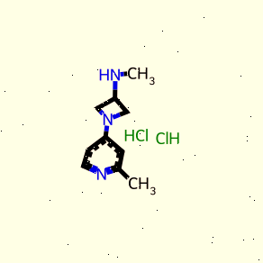 CNC1CN(c2ccnc(C)c2)C1.Cl.Cl